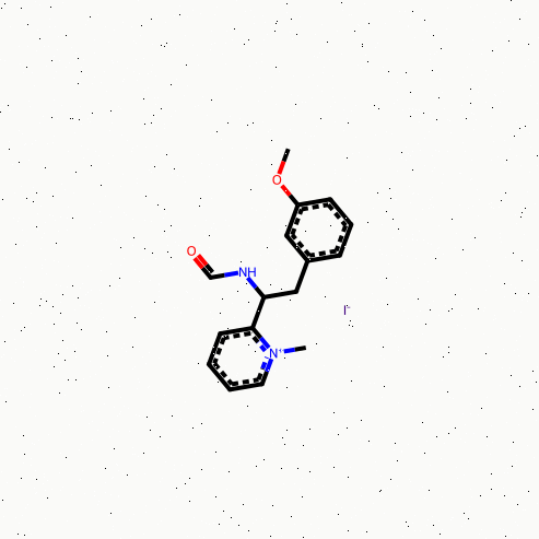 COc1cccc(CC(NC=O)c2cccc[n+]2C)c1.[I-]